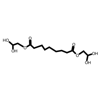 O=C(CCCCCCCC(=O)OCC(O)O)OCC(O)O